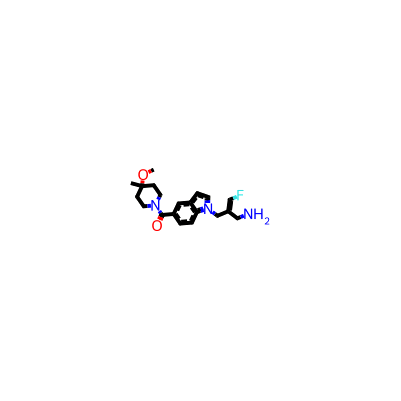 COC1(C)CCN(C(=O)c2ccc3c(ccn3CC(=CF)CN)c2)CC1